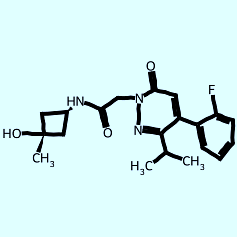 CC(C)c1nn(CC(=O)N[C@H]2C[C@@](C)(O)C2)c(=O)cc1-c1ccccc1F